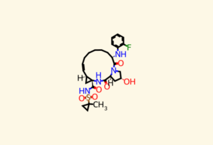 CC1(S(=O)(=O)NC(=O)[C@@]23C[C@H]2/C=C\CCCCC[C@H](Nc2ccccc2F)C(=O)N2C[C@H](O)C[C@H]2C(=O)N3)CC1